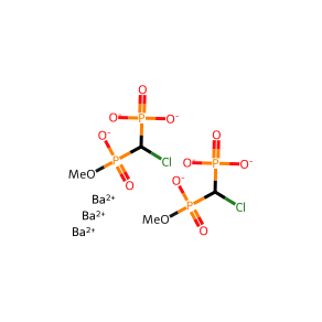 COP(=O)([O-])C(Cl)P(=O)([O-])[O-].COP(=O)([O-])C(Cl)P(=O)([O-])[O-].[Ba+2].[Ba+2].[Ba+2]